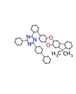 CC1(C)c2ccccc2-c2cc3c(cc21)Oc1ccc(-c2ccccc2-c2nc(-c4ccccc4)nc(-c4ccc(-c5ccccc5)cc4)n2)cc1O3